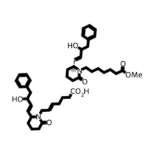 COC(=O)CCCCCCN1C(=O)CCC[C@@H]1C=CC(O)Cc1ccccc1.O=C(O)CCCC=CCN1C(=O)CCCC1C=CC(O)Cc1ccccc1